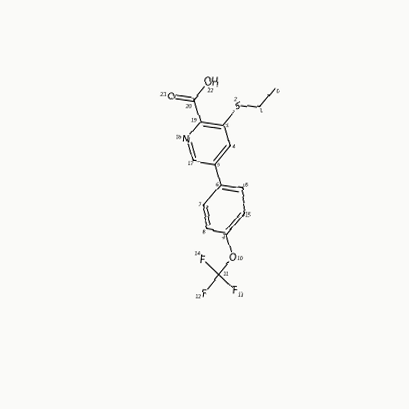 CCSc1cc(-c2ccc(OC(F)(F)F)cc2)cnc1C(=O)O